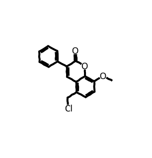 COc1ccc(CCl)c2cc(-c3ccccc3)c(=O)oc12